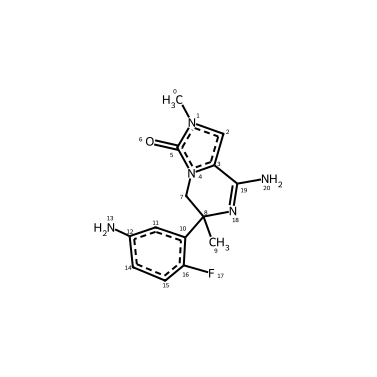 Cn1cc2n(c1=O)CC(C)(c1cc(N)ccc1F)N=C2N